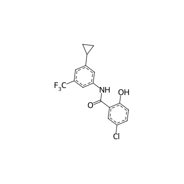 O=C(Nc1cc(C2CC2)cc(C(F)(F)F)c1)c1cc(Cl)ccc1O